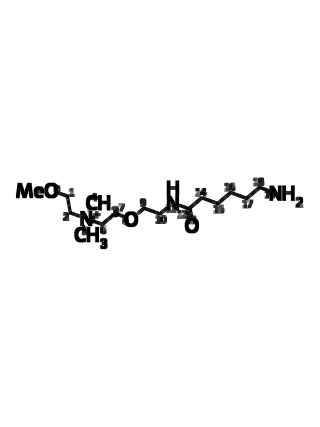 COCC[N+](C)(C)CCOCCNC(=O)CCCCCN